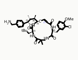 COc1ccc(C[C@H]2NC(=O)/C=C/C[C@@H]([C@H](C)[C@@H](C)[C@H](O)c3ccc(CN)cc3)OC(=O)[C@H](CC(C)(C)C)NC(=O)C(C)(C)CNC2=O)cc1Cl